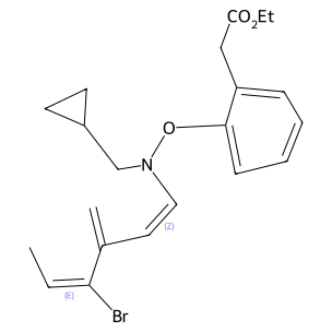 C=C(/C=C\N(CC1CC1)Oc1ccccc1CC(=O)OCC)/C(Br)=C\C